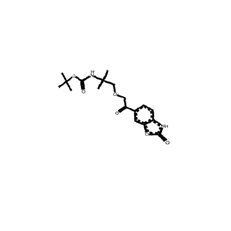 CC(C)(COCC(=O)c1ccc2[nH]c(=O)oc2c1)NC(=O)OC(C)(C)C